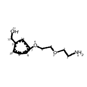 NCCOCCOc1cccc(CO)c1